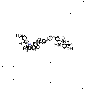 CCc1c2c(nc3ccc(O)cc13)/C(=C/C1=C(C)COC(=O)C1(CC)OC(=O)N(C)Cc1ccc(N3CCN(Cc4ccc(N(C(=N)c5ccc(O)c(C(C)C)c5)C(N)=O)cc4)CC3)cc1)N(C=O)C2